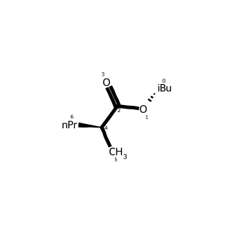 C[CH][C@@H](C)OC(=O)[C@@H](C)CCC